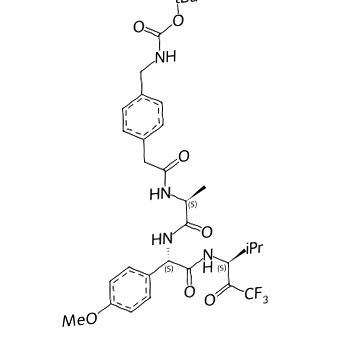 COc1ccc([C@H](NC(=O)[C@H](C)NC(=O)Cc2ccc(CNC(=O)OC(C)(C)C)cc2)C(=O)N[C@H](C(=O)C(F)(F)F)C(C)C)cc1